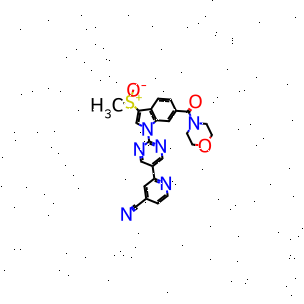 C[S+]([O-])c1cn(-c2ncc(-c3cc(C#N)ccn3)cn2)c2cc(C(=O)N3CCOCC3)ccc12